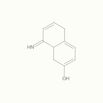 N=C1C=CCC2=CC=C(O)CC12